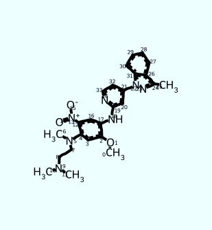 COc1cc(N(C)CCN(C)C)c([N+](=O)[O-])cc1Nc1cc(-n2nc(C)c3ccccc32)ccn1